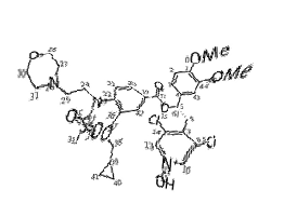 COc1ccc([C@H](Cc2c(Cl)c[n+](O)cc2Cl)OC(=O)c2ccc(N(CCN3CCOCC3)S(C)(=O)=O)c(OCC3CC3)c2)cc1OC